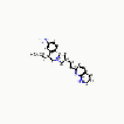 Nc1cccc(C(CC(=O)O)CN2CCC(CCc3ccc4c(n3)NCCC4)C2)c1